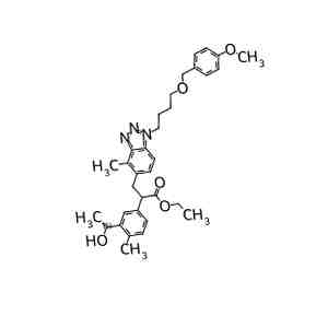 CCOC(=O)C(Cc1ccc2c(nnn2CCCCOCc2ccc(OC)cc2)c1C)c1ccc(C)c([C@H](C)O)c1